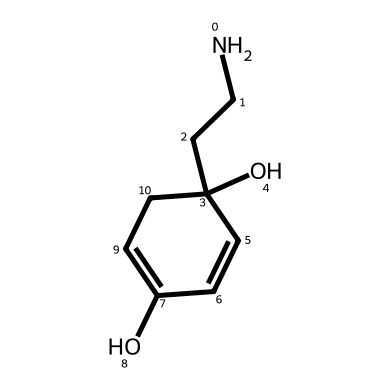 NCCC1(O)C=CC(O)=CC1